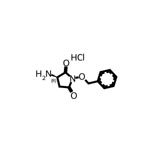 Cl.N[C@@H]1CC(=O)N(OCc2ccccc2)C1=O